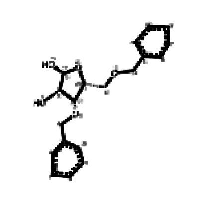 O[C@@H]1[C@@H](OCc2ccccc2)[C@@H](COCc2ccccc2)O[C@@H]1O